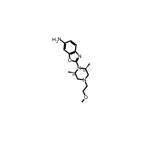 COCCN1C[C@@H](C)N(c2nc3ccc(N)cc3o2)[C@@H](C)C1